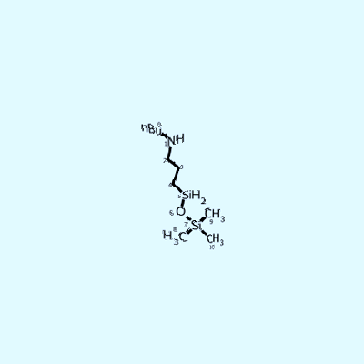 CCCCNCCC[SiH2]O[Si](C)(C)C